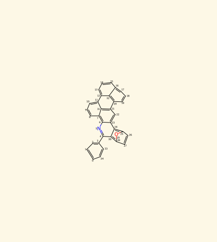 c1ccc(-c2nc3c4cccc5c6cccc7cccc(c(cc3c3c8ccc(o8)c23)c54)c76)cc1